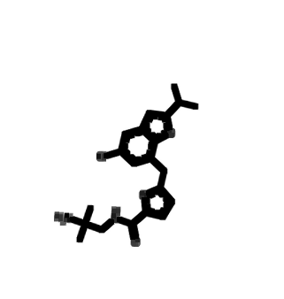 CC(C)c1cc2cc(Cl)cc(Cc3ccc(C(=O)NCC(C)(C)N)o3)c2o1